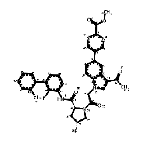 COC(=O)c1ncc(-c2ccc3c(c2)c(C(C)=O)cn3CC(=O)N2C[C@H](F)C[C@H]2C(=O)Nc2cccc(-c3ccccc3Cl)c2F)cn1